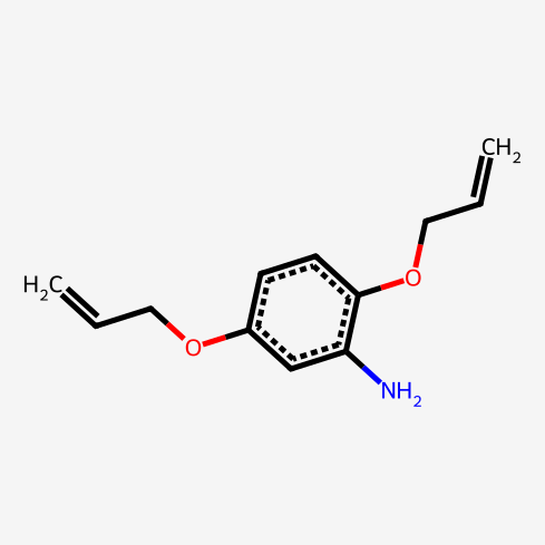 C=CCOc1ccc(OCC=C)c(N)c1